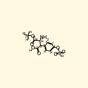 COC(=O)C(c1ccc(OS(C)(=O)=O)cc1)C(N)C(=O)OC(C)(C)C